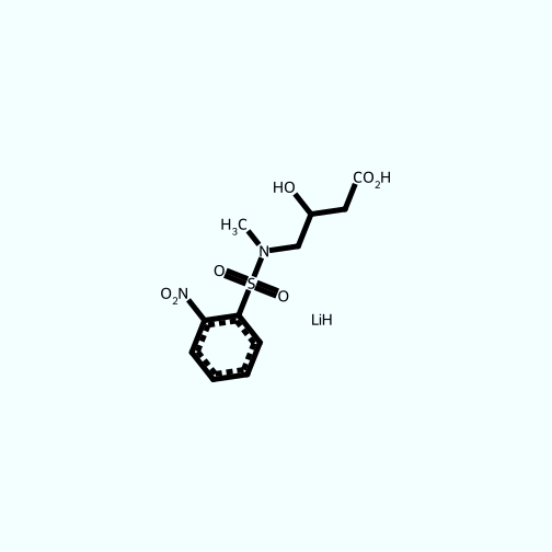 CN(CC(O)CC(=O)O)S(=O)(=O)c1ccccc1[N+](=O)[O-].[LiH]